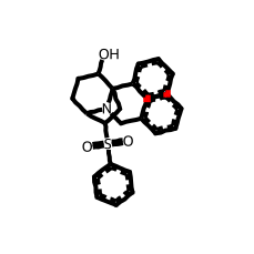 O=S(=O)(c1ccccc1)C1CC2(c3ccccc3)C(O)CCC1N2Cc1ccccc1